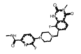 CNC(=O)c1ccc(N2CCN(Cc3ccc4c(=O)n(C)c(=O)[nH]c4c3F)CC2)c(F)n1